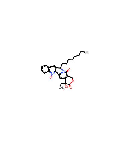 CCCCCCCCC1c2cc3ccccc3[n+]([O-])c2-c2cc3c(c(=O)n21)COC(=O)[C@]3(O)CC